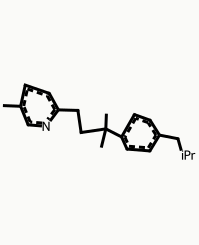 Cc1ccc(CCC(C)(C)c2ccc(CC(C)C)cc2)nc1